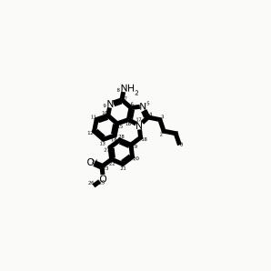 CCCCc1nc2c(N)nc3ccccc3c2n1Cc1ccc(C(=O)OC)cc1